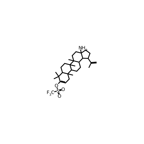 C=C(C)C1CCC2(N)CCC3(C)C(CCC4C5(C)CC=C(OS(=O)(=O)C(F)(F)F)C(C)(C)C5CCC43C)C12